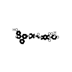 O=C1CCC(N2C(=O)c3cc4c(cc3C2=O)CN(CC(=O)N2CC3(CCN(c5ccc([C@H]6c7ccc(O)cc7OC[C@H]6c6ccccc6)cc5)CC3)C2)C4)C(=O)N1